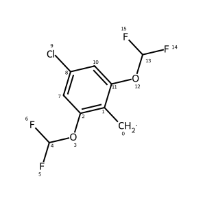 [CH2]c1c(OC(F)F)cc(Cl)cc1OC(F)F